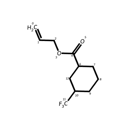 C=CCOC(=O)C1CCCC(C(F)(F)F)C1